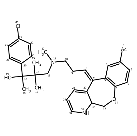 CC(=O)c1ccc2c(c1)/C(=C/CCN(C)CC(C)(C)C(C)(O)c1ccc(Cl)cc1)C1=CC=CNC1CO2